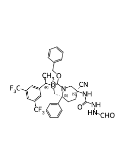 C[C@@H](OC[C@@]1(c2ccccc2)CC[C@](C#N)(NC(=O)NNC=O)CN1C(=O)OCc1ccccc1)c1cc(C(F)(F)F)cc(C(F)(F)F)c1